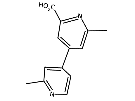 Cc1cc(-c2cc(C)nc(C(=O)O)c2)ccn1